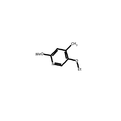 CCOc1cnc(OC)cc1C